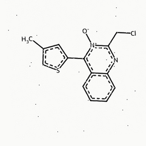 Cc1csc(-c2c3ccccc3nc(CCl)[n+]2[O-])c1